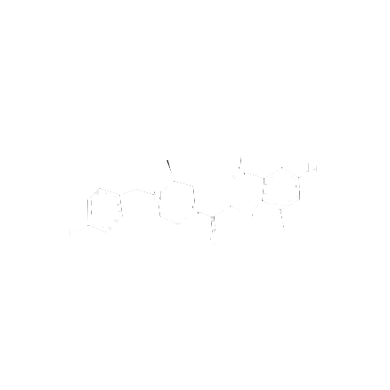 C[C@@H]1CN(Cc2ccc(F)cc2)[C@@H](C)CN1C(=O)COc1c(F)cc(Br)cc1[N+](=O)[O-]